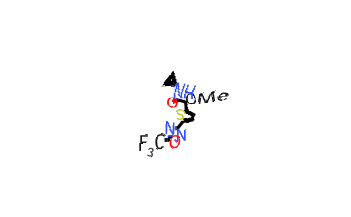 CO[C@H](C(=O)NC1CC1)c1ccc(-c2noc(C(F)(F)F)n2)s1